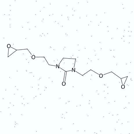 O=C1N(CCOCC2CO2)CCN1CCOCC1CO1